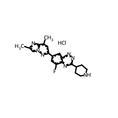 Cc1cn2nc(-c3cc(F)c4nc(C5CCNCC5)nnc4c3)cc(C)c2n1.Cl